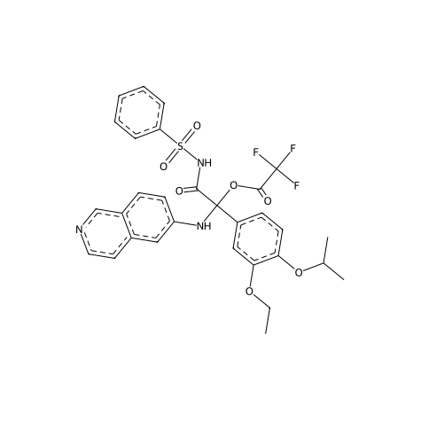 CCOc1cc(C(Nc2ccc3cnccc3c2)(OC(=O)C(F)(F)F)C(=O)NS(=O)(=O)c2ccccc2)ccc1OC(C)C